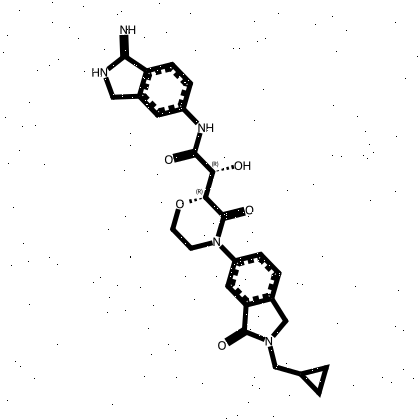 N=C1NCc2cc(NC(=O)[C@H](O)[C@H]3OCCN(c4ccc5c(c4)C(=O)N(CC4CC4)C5)C3=O)ccc21